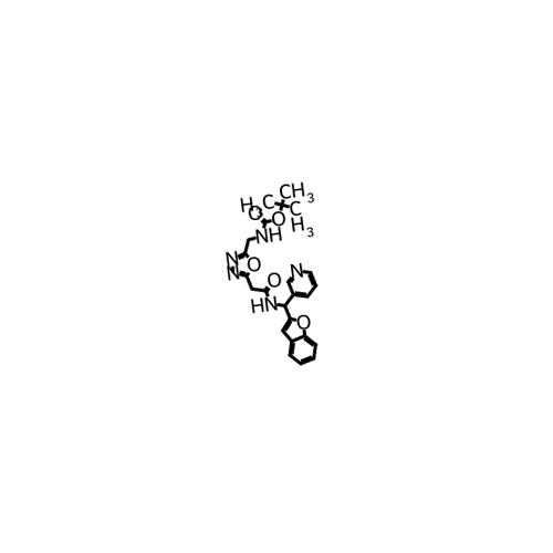 CC(C)(C)OC(=O)NCc1nnc(CC(=O)NC(c2cccnc2)c2cc3ccccc3o2)o1